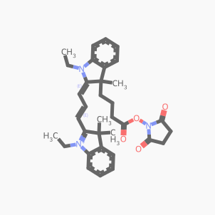 CCN1/C(=C/C=C/C2=[N+](CC)c3ccccc3C2(C)C)C(C)(CCCC(=O)ON2C(=O)CCC2=O)c2ccccc21